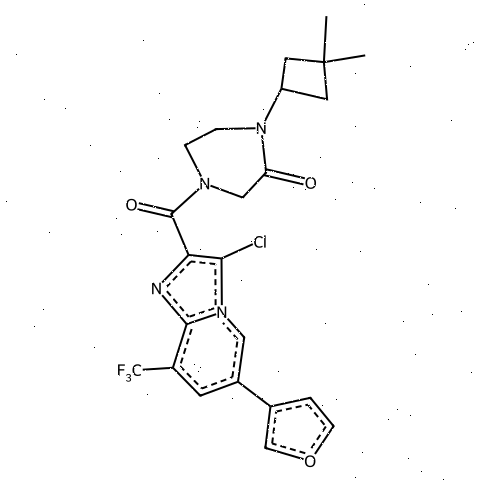 CC1(C)CC(N2CCN(C(=O)c3nc4c(C(F)(F)F)cc(-c5ccoc5)cn4c3Cl)CC2=O)C1